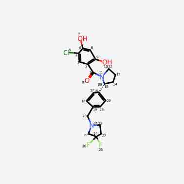 O=C(c1cc(Cl)c(O)cc1O)N1CCC[C@@H]1c1ccc(CN2CCC(F)(F)C2)cc1